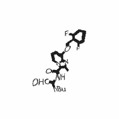 CCCCC(C=O)NC(=O)c1c(C)nc2c(OCc3c(F)cccc3F)cccn12